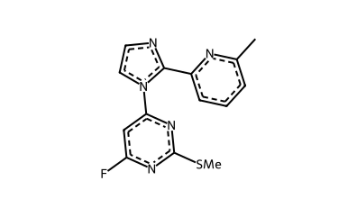 CSc1nc(F)cc(-n2ccnc2-c2cccc(C)n2)n1